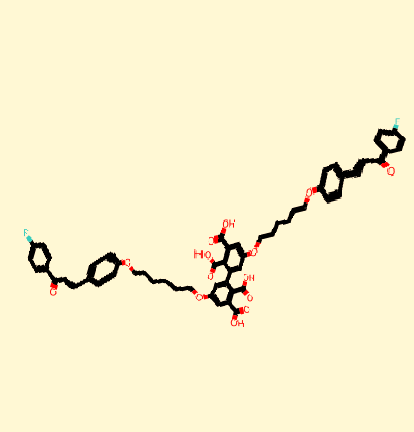 O=C(/C=C/c1ccc(OCCCCCCOc2cc(C(=O)O)c(C(=O)O)c(-c3cc(OCCCCCCOc4ccc(/C=C/C(=O)c5ccc(F)cc5)cc4)cc(C(=O)O)c3C(=O)O)c2)cc1)c1ccc(F)cc1